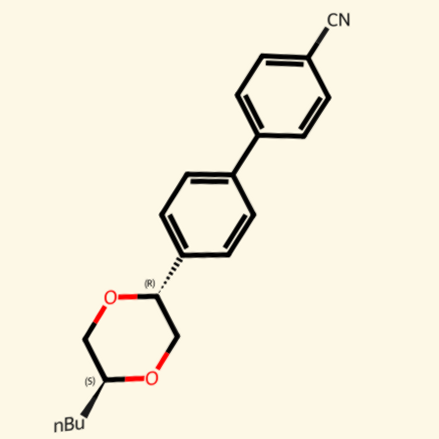 CCCC[C@H]1CO[C@H](c2ccc(-c3ccc(C#N)cc3)cc2)CO1